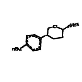 CCCCCCC1CCC(c2ccc(CCCC)cc2)CO1